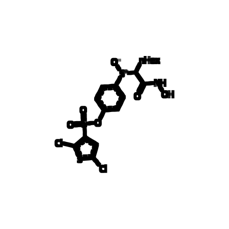 CCCCCCC(C(=O)NO)[S+]([O-])c1ccc(OS(=O)(=O)c2cc(Cl)sc2Cl)cc1